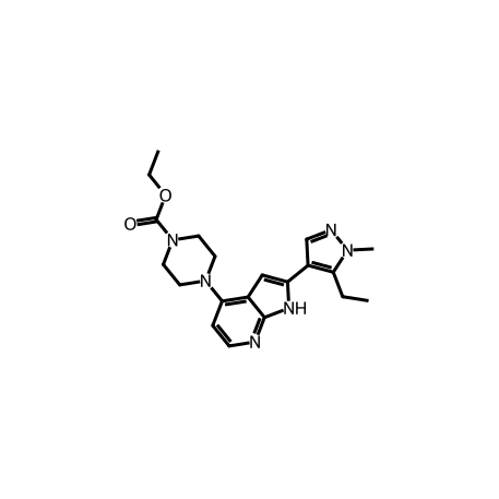 CCOC(=O)N1CCN(c2ccnc3[nH]c(-c4cnn(C)c4CC)cc23)CC1